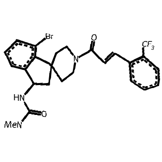 CNC(=O)NC1CC2(CCN(C(=O)/C=C/c3ccccc3C(F)(F)F)CC2)c2c(Br)cccc21